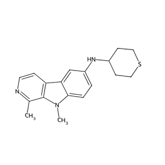 Cc1nccc2c3cc(NC4CCSCC4)ccc3n(C)c12